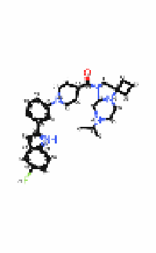 CC(C)N1CCN(C2(CNC(=O)C3CCN(c4cccc(-c5cc6cc(F)ccc6[nH]5)c4)CC3)CCC2)CC1